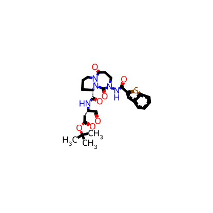 CC(C)(C)OC(=O)C[C@@H](C=O)NC(=O)[C@@H]1CCCN2C(=O)CCN(NC(=O)c3cc4ccccc4s3)C(=O)N12